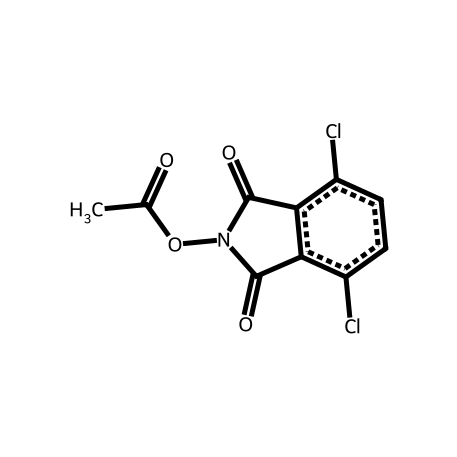 CC(=O)ON1C(=O)c2c(Cl)ccc(Cl)c2C1=O